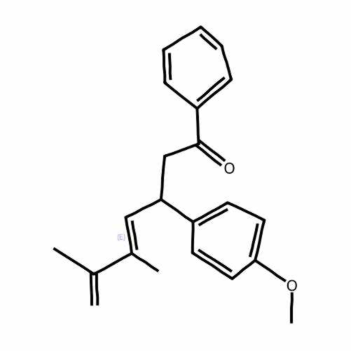 C=C(C)/C(C)=C/C(CC(=O)c1ccccc1)c1ccc(OC)cc1